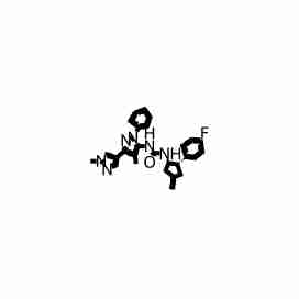 C=C1C[C@@H](NC(=O)Nc2c(C)c(-c3cnn(C)c3)nn2-c2ccccc2)[C@H](c2ccc(F)cc2)C1